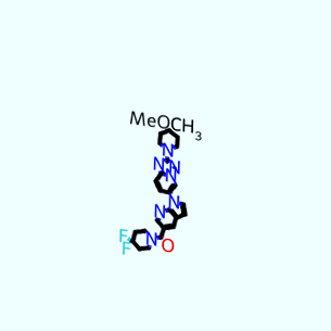 COC1(C)CCN(c2nc3ccc(-n4ccc5cc(C(=O)N6CCC(F)(F)CC6)cnc54)cn3n2)CC1